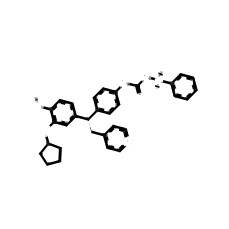 COc1ccc([C@H](Cc2ccncc2)c2ccc(NC(=O)NS(=O)(=O)c3ccccc3)cc2)cc1OC1CCCC1